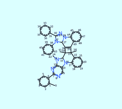 Cc1ccccc1-c1ncc2c(n1)N(C)C1N2c2ccccc2C2(C)C3=C(C4N(N=C(c5ccccc5)N4c4ccccc4)c4ccccc43)C12C